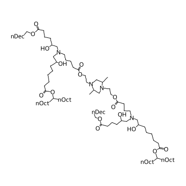 CCCCCCCCCCCOC(=O)CCCC(O)CN(CCCCC(=O)OCCN1CC(C)N(CCOC(=O)CCCN(CC(O)CCCCCC(=O)OC(CCCCCCCC)CCCCCCCC)CC(O)CCCC(=O)OCCCCCCCCCCC)CC1C)CC(O)CCCCCC(=O)OC(CCCCCCCC)CCCCCCCC